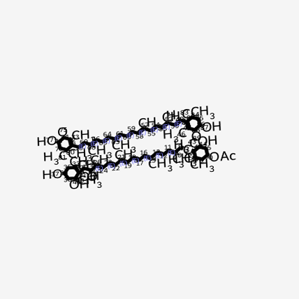 CC(=O)OC1CC(C)(C)C(=C=C/C(C)=C/C=C/C(C)=C/C=C/C=C(C)/C=C/C=C(\C)C(=O)CC2(O)C(C)(C)CC(O)CC2(C)O)C(C)(O)C1.CC1=C(/C=C/C(C)=C/C=C/C(C)=C/C=C/C=C(C)/C=C/C=C(C)/C=C/C2=C(C)C(=O)C(O)CC2(C)C)C(C)(C)CC(O)C1=O